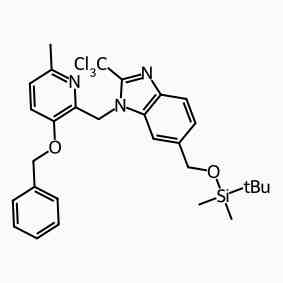 Cc1ccc(OCc2ccccc2)c(Cn2c(C(Cl)(Cl)Cl)nc3ccc(CO[Si](C)(C)C(C)(C)C)cc32)n1